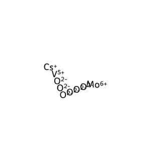 [Cs+].[Mo+6].[O-2].[O-2].[O-2].[O-2].[O-2].[O-2].[V+5]